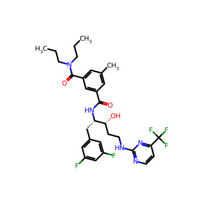 CCCN(CCC)C(=O)c1cc(C)cc(C(=O)N[C@@H](Cc2cc(F)cc(F)c2)[C@H](O)CCNc2nccc(C(F)(F)F)n2)c1